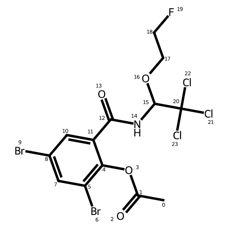 CC(=O)Oc1c(Br)cc(Br)cc1C(=O)NC(OCCF)C(Cl)(Cl)Cl